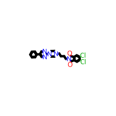 O=C1c2cc(Cl)c(Cl)cc2C(=O)N1CCCCN1CCN(c2ncc(-c3ccccc3)cn2)CC1